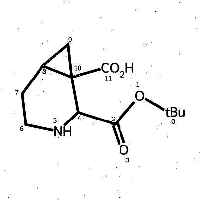 CC(C)(C)OC(=O)C1NCCC2CC21C(=O)O